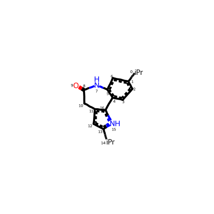 CC(C)c1ccc2c(c1)NC(=O)Cc1cc(C(C)C)[nH]c1-2